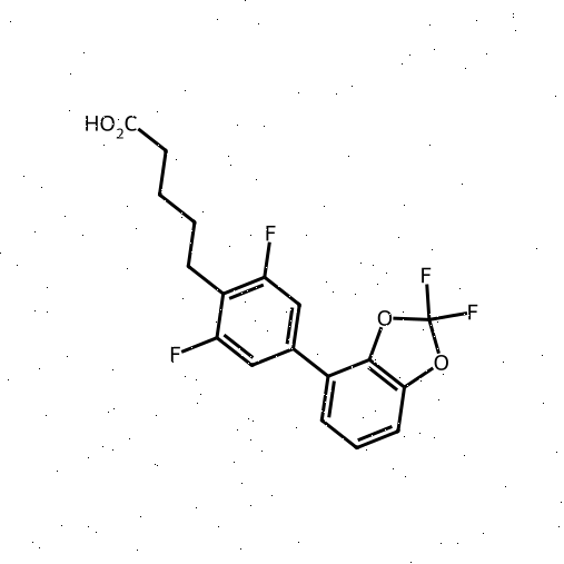 O=C(O)CCCCc1c(F)cc(-c2cccc3c2OC(F)(F)O3)cc1F